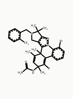 CCc1cccc2c1-n1nc3c(c1C1(C)C(C)=CC(C)(NC(N)=O)C(F)=C21)CN(Cc1ccccc1C(F)(F)F)C3(C)C